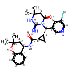 CC[C@]1(C)CC(=O)N(C(c2cncc(F)c2)[C@@H]2C[C@H]2C(=O)N[C@@H]2CC(C)(C)Oc3ccccc32)C(=N)N1